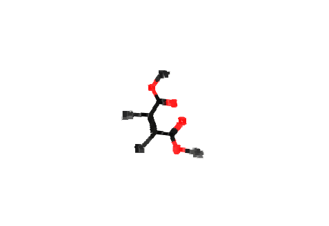 CC/C(C(=O)OC(C)C)=C(\CC)C(=O)OC(C)C